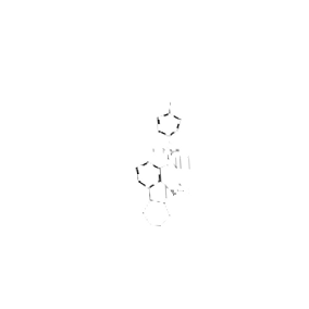 CC(=O)N1c2c(NS(=O)(=O)c3ccc(C)cc3)cccc2C2CCCCC21